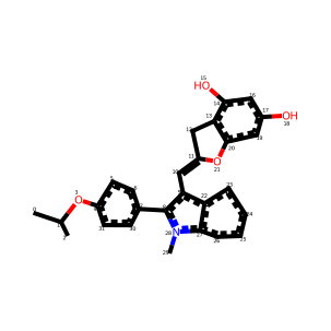 CC(C)Oc1ccc(-c2c(C=C3Cc4c(O)cc(O)cc4O3)c3ccccc3n2C)cc1